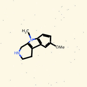 COc1ccc2c(c1)c1c(n2C)CNCC1